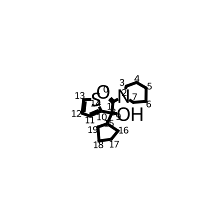 O=C(N1CCCCC1)C(O)(c1cccs1)C1CCCC1